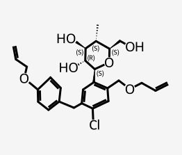 C=CCOCc1cc(Cl)c(Cc2ccc(OCC=C)cc2)cc1[C@@H]1O[C@H](CO)[C@@H](C)[C@H](O)[C@H]1O